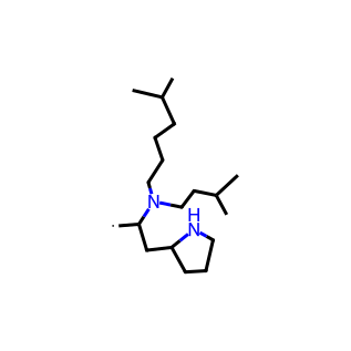 [CH2]C(CC1CCCN1)N(CCCCC(C)C)CCC(C)C